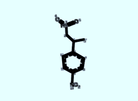 [CH2]C(C[SH](=O)=O)c1ccc([N+](=O)[O-])cc1